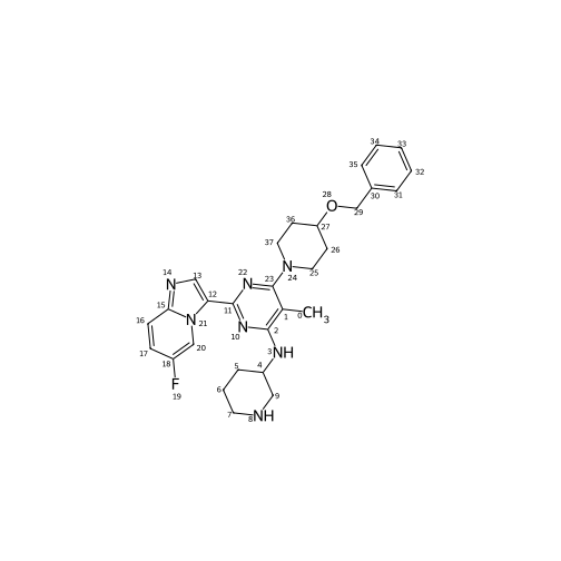 Cc1c(NC2CCCNC2)nc(-c2cnc3ccc(F)cn23)nc1N1CCC(OCc2ccccc2)CC1